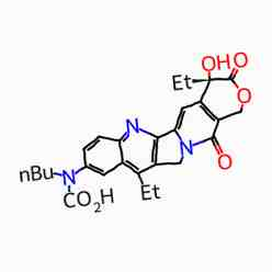 CCCCN(C(=O)O)c1ccc2nc3c(c(CC)c2c1)Cn1c-3cc2c(c1=O)COC(=O)[C@]2(O)CC